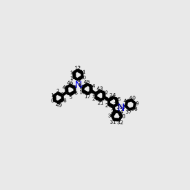 c1ccc(-c2ccc(N(c3ccccc3)c3ccc(-c4ccc(-c5ccc6c(c5)c5ccccc5n6C5CCCCC5)cc4)cc3)cc2)cc1